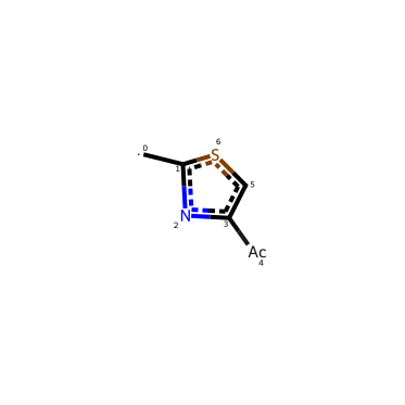 [CH2]c1nc(C(C)=O)cs1